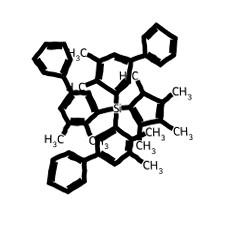 CC1=C(C)C(C)C([Si](c2cc(-c3ccccc3)cc(C)c2C)(c2cc(-c3ccccc3)cc(C)c2C)c2cc(-c3ccccc3)cc(C)c2C)=C1C